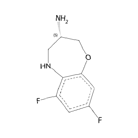 N[C@H]1CNc2c(F)cc(F)cc2OC1